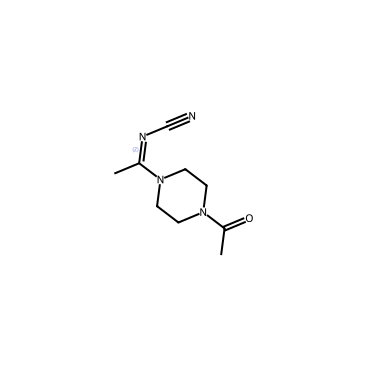 CC(=O)N1CCN(/C(C)=N\C#N)CC1